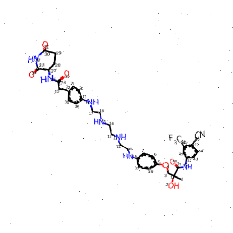 CC(O)(COc1ccc(NCCNCCNCCNc2ccc(CC(=O)NC3CCC(=O)NC3=O)cc2)cc1)C(=O)Nc1ccc(C#N)c(C(F)(F)F)c1